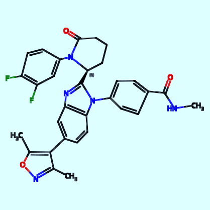 CNC(=O)c1ccc(-n2c([C@@H]3CCCC(=O)N3c3ccc(F)c(F)c3)nc3cc(-c4c(C)noc4C)ccc32)cc1